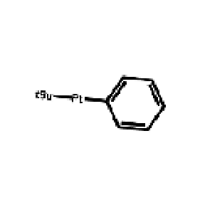 C[C](C)(C)[Pt][c]1ccccc1